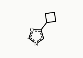 [c]1ncc(C2CCC2)o1